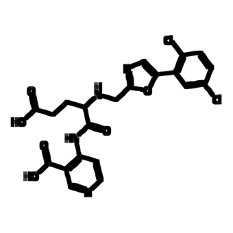 O=C(O)CCC(NCc1ncc(-c2cc(Cl)ccc2Cl)o1)C(=O)Nc1ccncc1C(=O)O